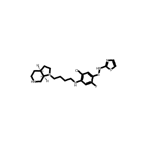 Fc1cc(NCCCCN2CC[C@@H]3CCNC[C@@H]32)c(Cl)cc1SNc1nccs1